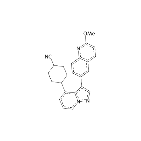 COc1ccc2cc(-c3cnn4cccc(C5CCC(C#N)CC5)c34)ccc2n1